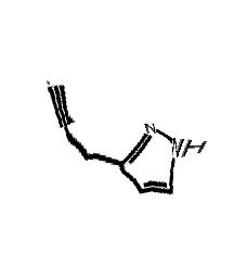 [C]#CCc1cc[nH]n1